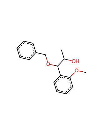 COc1ccccc1C(OCc1ccccc1)C(C)O